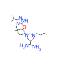 CCCCN1CC(=C(N)N)CN(C2CCC(C)(Cn3c(C(C)C)n[nH]c3=O)CC2)C1